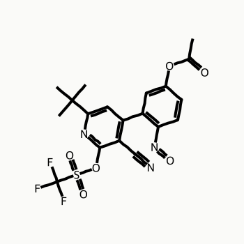 CC(=O)Oc1ccc(N=O)c(-c2cc(C(C)(C)C)nc(OS(=O)(=O)C(F)(F)F)c2C#N)c1